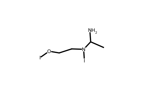 CC(N)N(I)CCOI